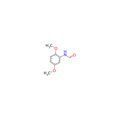 COc1ccc(OC)c(NC=O)c1